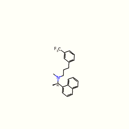 C[C@H](c1cccc2ccccc12)N(C)CCCc1cccc(C(F)(F)F)c1